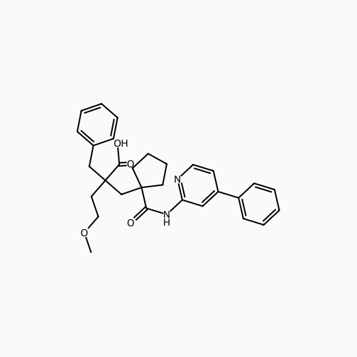 COCCC(Cc1ccccc1)(CC1(C(=O)Nc2cc(-c3ccccc3)ccn2)CCCC1)C(=O)O